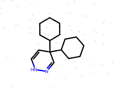 C1=CC(C2CCCCC2)(C2CCCCC2)C=NN1